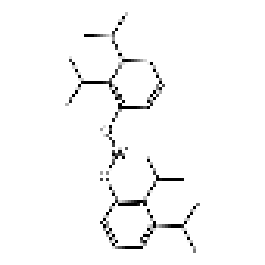 CC(C)c1cccc([O][W][O]c2cccc(C(C)C)c2C(C)C)c1C(C)C